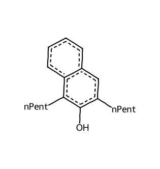 CCCCCc1cc2ccccc2c(CCCCC)c1O